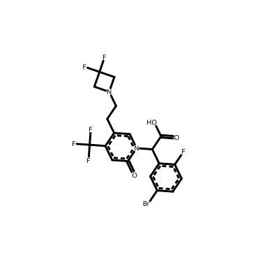 O=C(O)C(c1cc(Br)ccc1F)n1cc(CCN2CC(F)(F)C2)c(C(F)(F)F)cc1=O